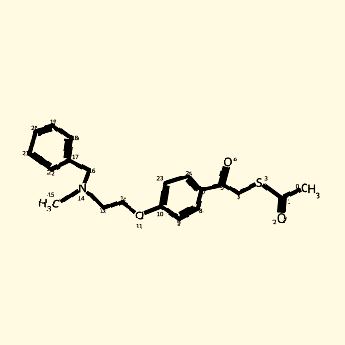 CC(=O)SCC(=O)c1ccc(OCCN(C)Cc2ccccc2)cc1